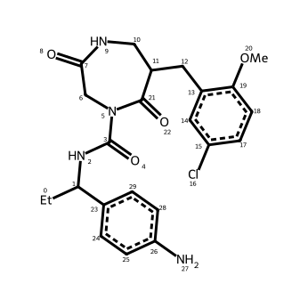 CCC(NC(=O)N1CC(=O)NCC(Cc2cc(Cl)ccc2OC)C1=O)c1ccc(N)cc1